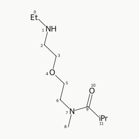 CCNCCOCCN(C)C(=O)C(C)C